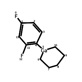 Fc1cc[c]([Ga]2[CH2]CCC[CH2]2)c(F)c1